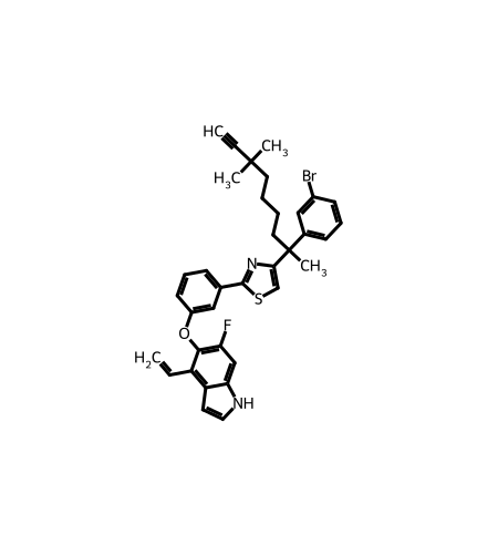 C#CC(C)(C)CCCCC(C)(c1cccc(Br)c1)c1csc(-c2cccc(Oc3c(F)cc4[nH]ccc4c3C=C)c2)n1